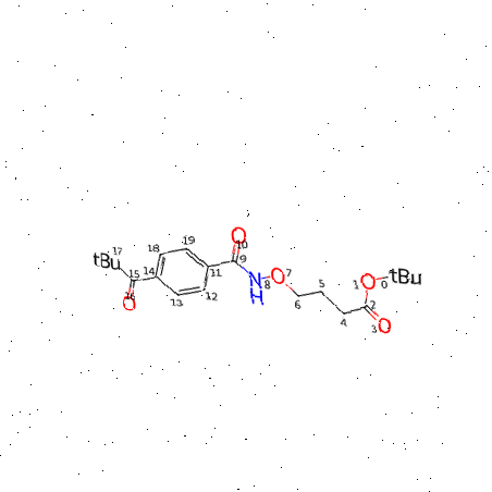 CC(C)(C)OC(=O)CCCONC(=O)c1ccc(C(=O)C(C)(C)C)cc1